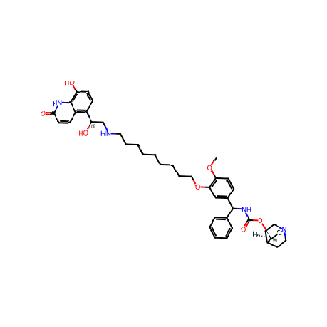 COc1ccc(C(NC(=O)O[C@H]2CN3CCC2CC3)c2ccccc2)cc1OCCCCCCCCCNC[C@@H](O)c1ccc(O)c2[nH]c(=O)ccc12